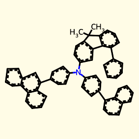 CC1(C)c2ccc(N(c3ccc(-c4cccc5ccccc45)cc3)c3ccc(-c4cc5ccccc5c5ccccc45)cc3)cc2-c2c(-c3ccccc3)cccc21